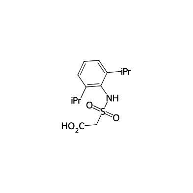 CC(C)c1cccc(C(C)C)c1NS(=O)(=O)CC(=O)O